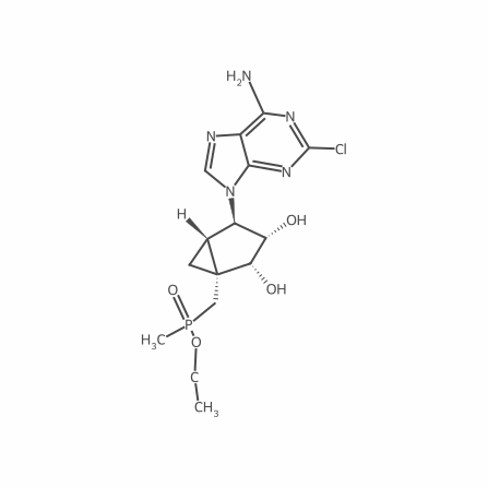 CCOP(C)(=O)C[C@]12C[C@@H]1[C@@H](n1cnc3c(N)nc(Cl)nc31)[C@H](O)[C@@H]2O